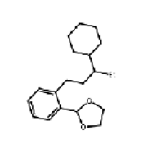 CCC(CCc1ccccc1C1OCCO1)C1CCCCC1